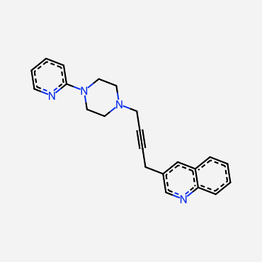 C(#CCN1CCN(c2ccccn2)CC1)Cc1cnc2ccccc2c1